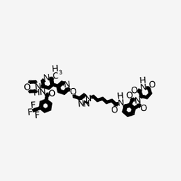 CC1=C(c2ccc(OCc3cn(CCCCCC(=O)Nc4cccc5c4C(=O)N(C4CCC(=O)NC4=O)C5=O)nn3)nc2)CC(NC(=O)c2cccc(C(F)(F)F)c2)(N2CCOCC2)C=N1